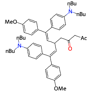 CCCCN(CCCC)c1ccc(/C(=C\C(/C=C(/c2ccc(OC)cc2)c2ccc(N(CCCC)CCCC)cc2)CC(=O)CC(C)=O)c2ccc(OC)cc2)cc1